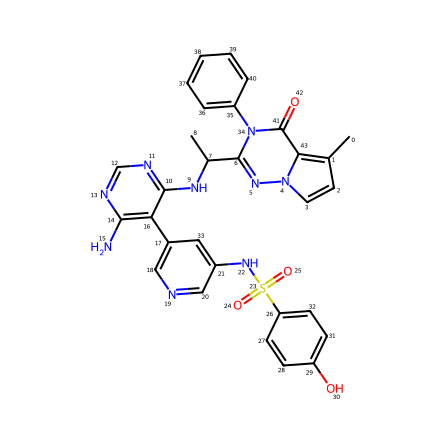 Cc1ccn2nc(C(C)Nc3ncnc(N)c3-c3cncc(NS(=O)(=O)c4ccc(O)cc4)c3)n(-c3ccccc3)c(=O)c12